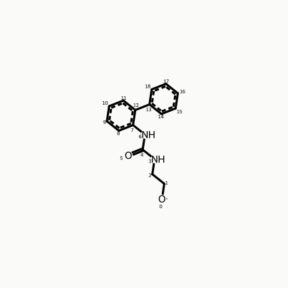 [O]CCNC(=O)Nc1ccccc1-c1ccccc1